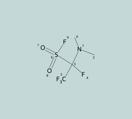 CN(C)C(F)(C(F)(F)F)S(=O)(=O)F